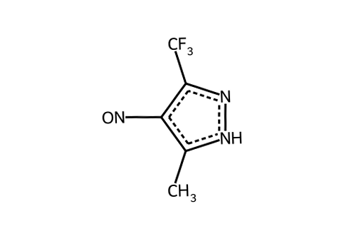 Cc1[nH]nc(C(F)(F)F)c1N=O